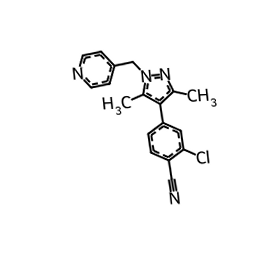 Cc1nn(Cc2ccncc2)c(C)c1-c1ccc(C#N)c(Cl)c1